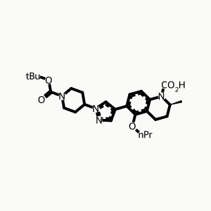 CCCOc1c(-c2cnn(C3CCN(C(=O)OC(C)(C)C)CC3)c2)ccc2c1CC[C@H](C)N2C(=O)O